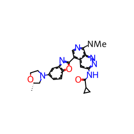 CNc1ncc(-c2nc3cc(N4CCO[C@@H](C)C4)ccc3o2)c2cc(NC(=O)C3CC3)nnc12